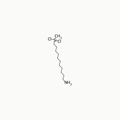 C[Si](Cl)(Cl)CCCCCCCCCCCN